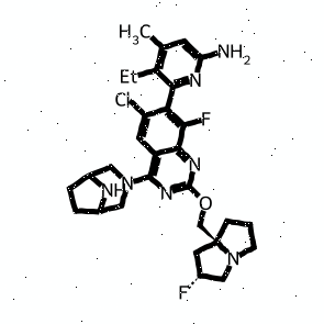 CCc1c(C)cc(N)nc1-c1c(Cl)cc2c(N3CC4CCC(C3)N4)nc(OC[C@@]34CCCN3C[C@H](F)C4)nc2c1F